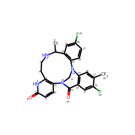 CCC1NCCc2[nH]c(=O)ccc2N2CN(c3cc(C(F)(F)F)c(F)cc3C2=O)c2ccc(F)cc21